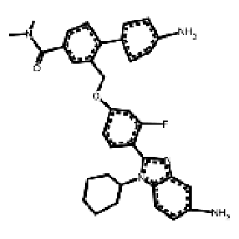 CN(C)C(=O)c1ccc(-c2ccc(N)cc2)c(COc2ccc(-c3nc4cc(N)ccc4n3C3CCCCC3)c(F)c2)c1